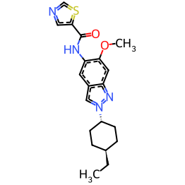 CC[C@H]1CC[C@H](n2cc3cc(NC(=O)c4cncs4)c(OC)cc3n2)CC1